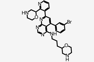 Brc1cccc(-c2cc(-c3cccnc3C3CNCCO3)nc3ncnc(NCCCC4CNCCO4)c23)c1